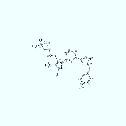 Cc1c(I)nc(-c2cc(-c3cnn(Cc4ccc(Cl)cc4)c3)ccn2)n1COCC[Si](C)(C)C